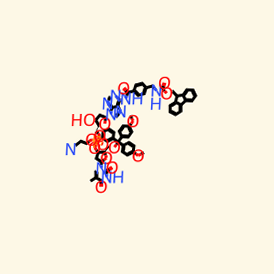 COc1ccc(C(OC[C@H]2OC(n3cc(C)c(=O)[nH]c3=O)CC2OP(=O)(OCCC#N)OC[C@H]2OC(n3cnc4c(NC(=O)c5ccc(CNC(=O)OCC6c7ccccc7-c7ccccc76)cc5)ncnc43)CC2O)(c2ccccc2)c2ccc(OC)cc2)cc1